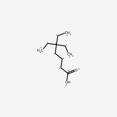 CCC(CC)(CC)CCCC(=O)O